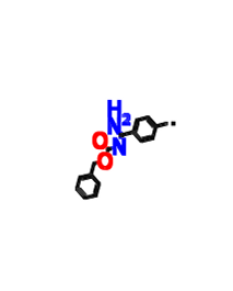 [CH2]c1ccc(/C(N)=N/C(=O)OCc2ccccc2)cc1